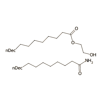 CCCCCCCCCCCCCCCCCC(=O)OCCO.CCCCCCCCCCCCCCCCCC(N)=O